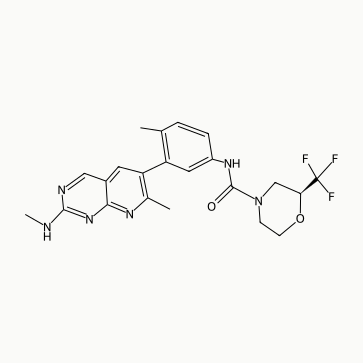 CNc1ncc2cc(-c3cc(NC(=O)N4CCO[C@H](C(F)(F)F)C4)ccc3C)c(C)nc2n1